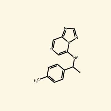 CC(Nc1cncc2ncnn12)c1ccc(C(F)(F)F)cc1